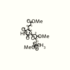 COC(=O)/C=C/c1cn([C@H]2C[C@@H](OC)[C@@H](COP(C)(=O)OC)O2)c(=O)[nH]c1=O